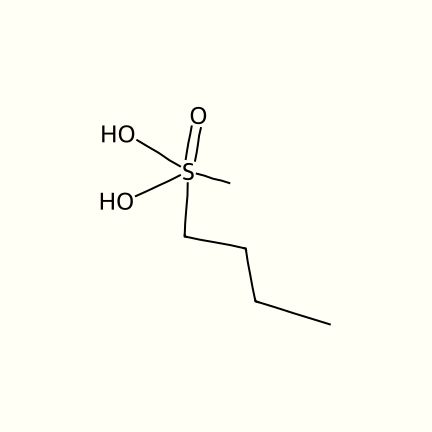 CCCCS(C)(=O)(O)O